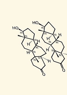 C[C@]12CCC(=O)C[C@@H]1CC[C@@H]1[C@@H]2CC[C@]2(C)[C@@H](O)CC[C@@H]12.C[C@]12CCC(=O)C[C@@H]1CC[C@@H]1[C@@H]2CC[C@]2(C)[C@@H](O)CC[C@@H]12